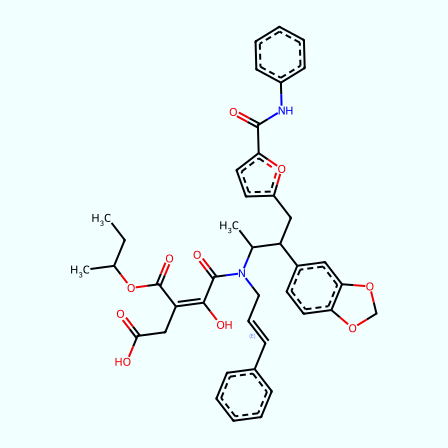 CCC(C)OC(=O)C(CC(=O)O)=C(O)C(=O)N(C/C=C/c1ccccc1)C(C)C(Cc1ccc(C(=O)Nc2ccccc2)o1)c1ccc2c(c1)OCO2